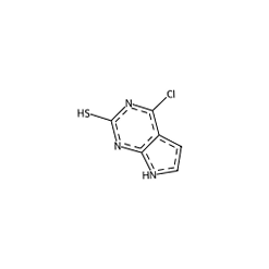 Sc1nc(Cl)c2cc[nH]c2n1